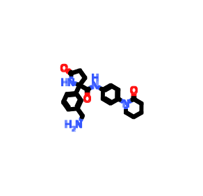 NCc1cccc(C2(C(=O)Nc3ccc(N4CCCCC4=O)cc3)CCC(=O)N2)c1